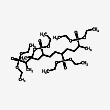 CCOP(=O)(OCC)C(C)CCC(CCC(CCC(C)P(=O)(OCC)OCC)P(=O)(OCC)OCC)P(=O)(OCC)OCC